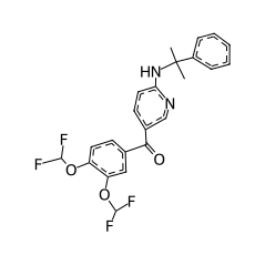 CC(C)(Nc1ccc(C(=O)c2ccc(OC(F)F)c(OC(F)F)c2)cn1)c1ccccc1